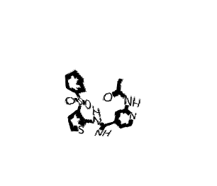 CC(=O)Nc1cc(C(=N)Nc2sccc2S(=O)(=O)c2ccccc2)ccn1